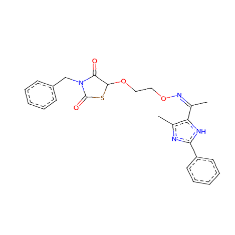 CC(=NOCCOC1SC(=O)N(Cc2ccccc2)C1=O)c1[nH]c(-c2ccccc2)nc1C